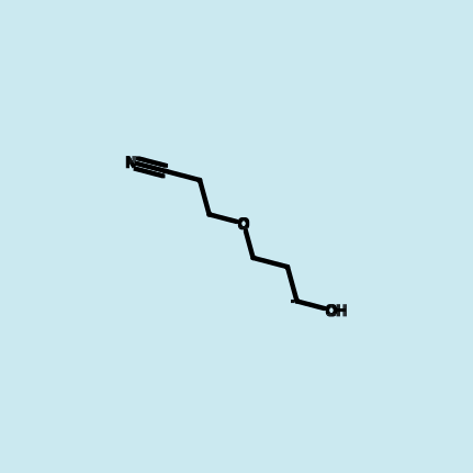 N#CCCOCC[CH]O